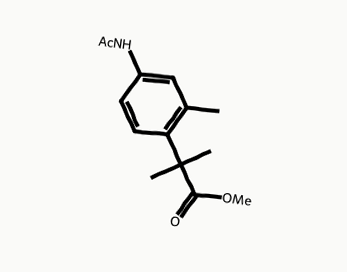 COC(=O)C(C)(C)c1ccc(NC(C)=O)cc1C